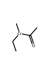 C[CH2][Cr]([CH3])[C](C)=O